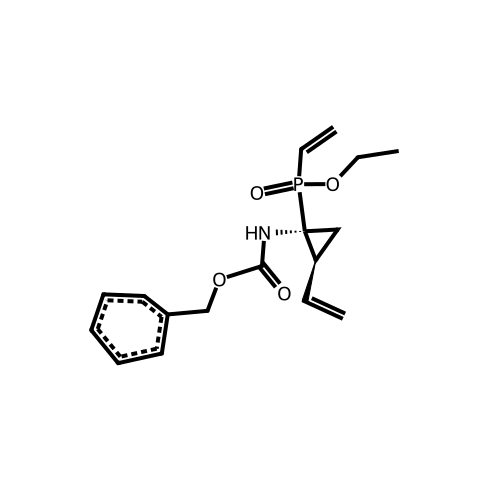 C=C[C@@H]1C[C@]1(NC(=O)OCc1ccccc1)P(=O)(C=C)OCC